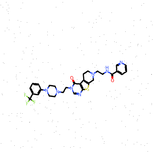 O=C(NCCN1CCc2c(sc3ncn(CCN4CCN(c5cccc(C(F)(F)F)c5)CC4)c(=O)c23)C1)c1cccnc1